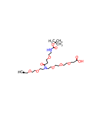 C#CCOCCOCCN(CCOCCOCCOCCC(=O)O)C(=O)CCOCCNC(=O)OC(C)(C)C